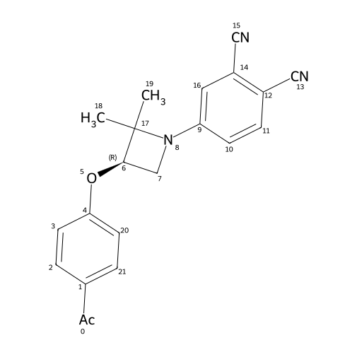 CC(=O)c1ccc(O[C@@H]2CN(c3ccc(C#N)c(C#N)c3)C2(C)C)cc1